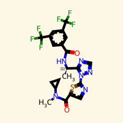 C[C@H](NC(=O)c1cc(C(F)(F)F)cc(C(F)(F)F)c1)c1ncnn1-c1ncc(C(=O)N(C)C2CC2)s1